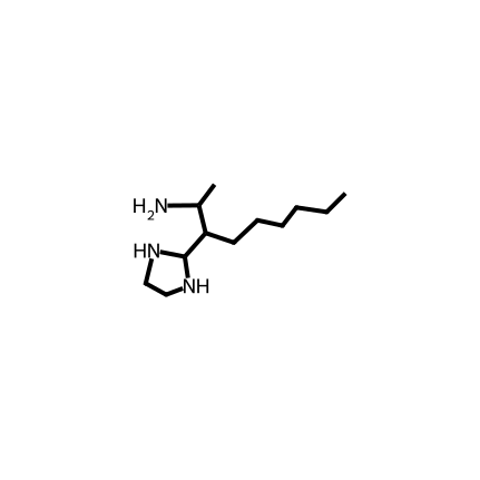 CCCCCCC(C(C)N)C1NCCN1